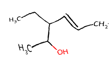 [CH2]/C=C/C(CC)C(C)O